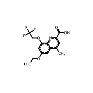 CCOc1cc(OCC(F)(F)F)c2nc(C(=O)O)cc(C)c2c1